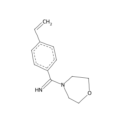 C=Cc1ccc(C(=N)N2CCOCC2)cc1